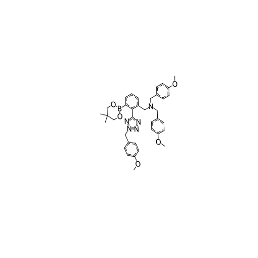 COc1ccc(CN(Cc2ccc(OC)cc2)Cc2cccc(B3OCC(C)(C)CO3)c2-c2nnn(Cc3ccc(OC)cc3)n2)cc1